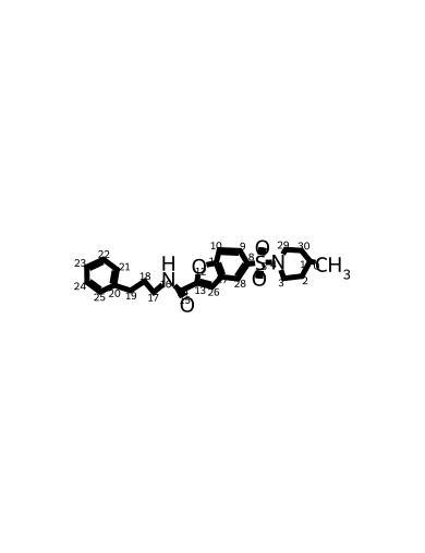 CC1CCN(S(=O)(=O)c2ccc3oc(C(=O)NCCCc4ccccc4)cc3c2)CC1